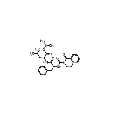 CC(C)C[C@H](NC(=O)[C@H](Cc1ccccc1)NC(=O)N1CCc2ccccc2C1=O)C(=O)OB(O)O